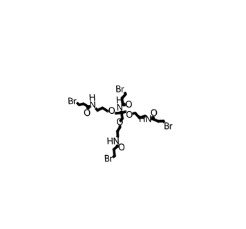 O=C(CCBr)NCCCOCC(COCCCNC(=O)CCBr)(COCCCNC(=O)CCBr)NC(=O)CCBr